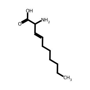 CCCCCCC=CC(N)C(=O)O